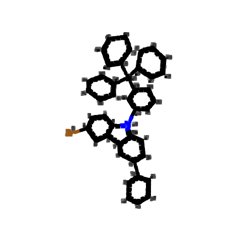 Brc1ccc2c(c1)c1cc(-c3ccccc3)ccc1n2-c1cccc([Si](c2ccccc2)(c2ccccc2)c2ccccc2)c1